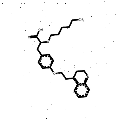 CCCCCCOC(Cc1ccc(OCCC2=c3ccccc3=NCC2)cc1)C(=O)O